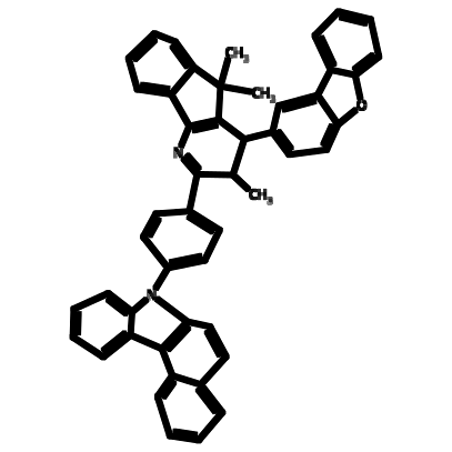 CC1C(c2ccc(-n3c4ccccc4c4c5ccccc5ccc43)cc2)=NC2=C(C1c1ccc3oc4ccccc4c3c1)C(C)(C)c1ccccc12